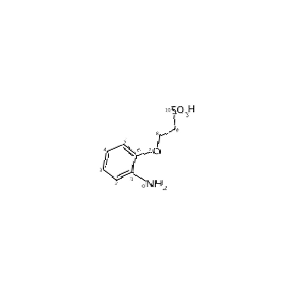 Nc1ccccc1OCCS(=O)(=O)O